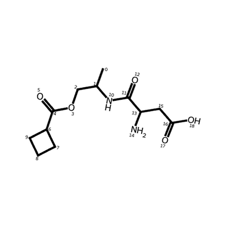 CC(COC(=O)C1CCC1)NC(=O)C(N)CC(=O)O